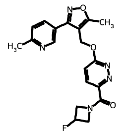 Cc1ccc(-c2noc(C)c2COc2ccc(C(=O)N3CC(F)C3)nn2)cn1